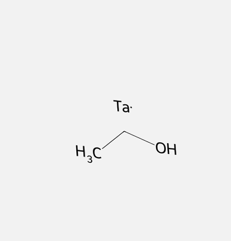 CCO.[Ta]